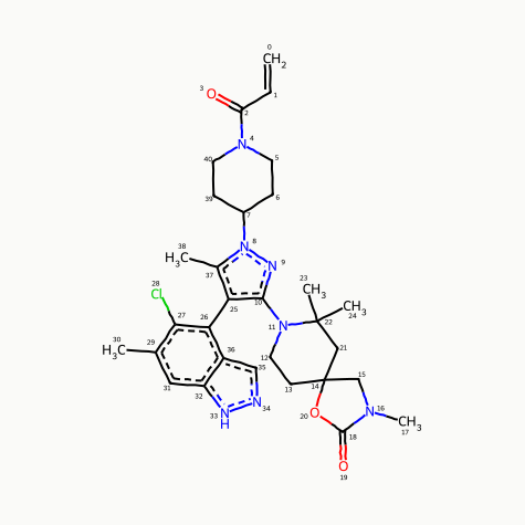 C=CC(=O)N1CCC(n2nc(N3CCC4(CN(C)C(=O)O4)CC3(C)C)c(-c3c(Cl)c(C)cc4[nH]ncc34)c2C)CC1